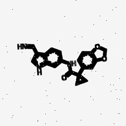 N=Cc1c[nH]c2cc(NC(=O)C3(c4ccc5c(c4)OCO5)CC3)ccc12